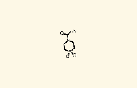 CCCC(=O)N1CCS(=O)(=O)CC1